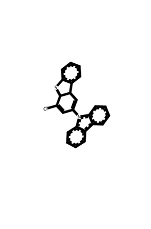 ClC1=CC(n2c3ccccc3c3ccccc32)=CC2c3ccccc3SC12